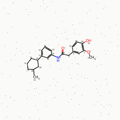 COc1cc(CC(=O)Nc2cccc(C3CCCC(C)C3)c2)ccc1O